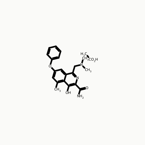 CC(=O)O.Cc1cc(Oc2ccccc2)cc2c(CN(C)C)nc(C(N)=O)c(O)c12